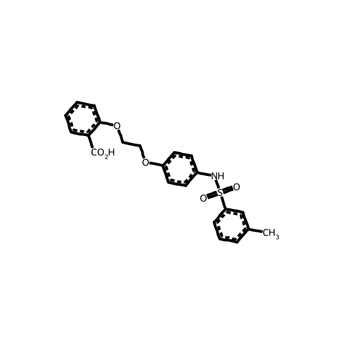 Cc1cccc(S(=O)(=O)Nc2ccc(OCCOc3ccccc3C(=O)O)cc2)c1